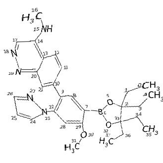 CCC1(CC)OB(c2cc(-c3ccc4c(NC)cnnc4c3)c(-n3cccn3)cc2OC)OC1(CC)CC